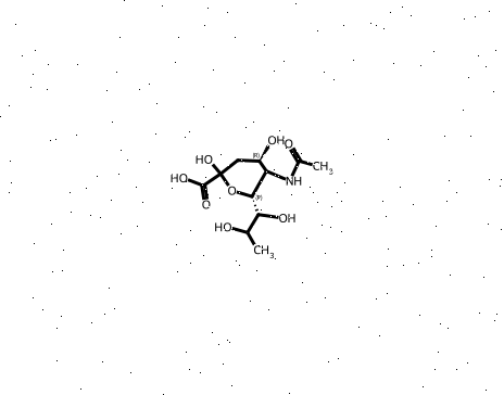 CC(=O)NC1[C@H](C(O)C(C)O)OC(O)(C(=O)O)C[C@H]1O